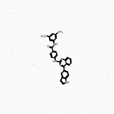 Cc1cc(C)cc(NC(=O)c2ccc(Nc3nc(-c4ccc5[nH]ccc5c4)c4ccccc4n3)cc2)c1